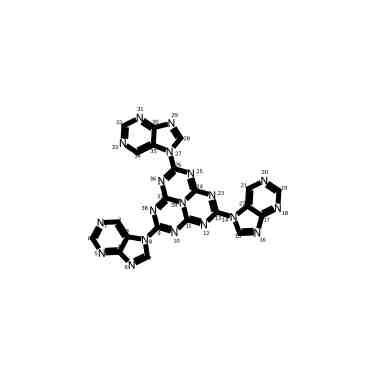 c1ncc2c(n1)ncn2C1=NC2=NC(n3cnc4ncncc43)=NC3=NC(n4cnc5ncncc54)=NC(=N1)N23